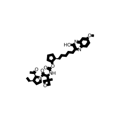 CC[C@@H]1CCN(C(=O)C(NC(=O)OC2CCC[C@H]2CCCCCc2nc3ccc(OC)cc3nc2O)C2(C)COC2)[C@@H]1C(C)=O